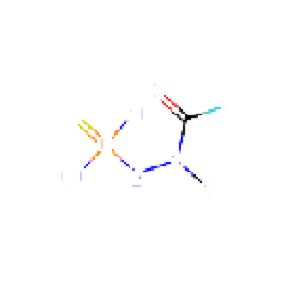 CN(NP(N)(N)=S)C(=O)F